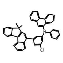 CC1(C)c2ccccc2-c2c1cc(-c1cc(Cl)cc(N(c3ccccc3)c3cc4ccccc4c4ccccc34)c1)c1ccccc21